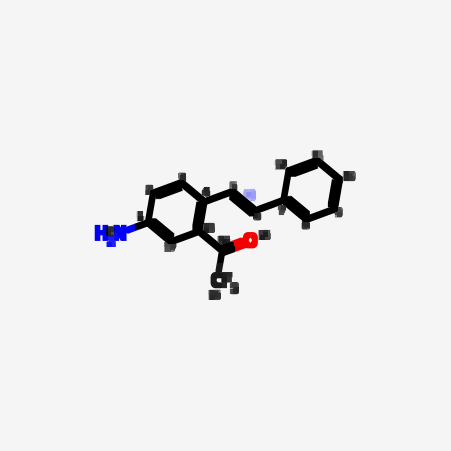 Nc1ccc(/C=C/c2ccccc2)c(C(=O)C(F)(F)F)c1